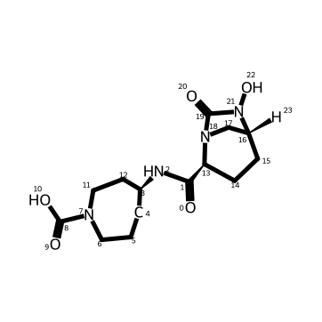 O=C(N[C@H]1CCCN(C(=O)O)CC1)[C@@H]1CC[C@@H]2CN1C(=O)N2O